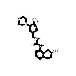 O=C(NCc1ccc(C(F)(F)F)c(N2CCOCC2)c1)Nc1cccc2c1CC(O)CC2